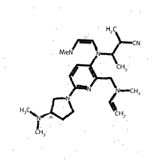 C=CN(C)Cc1nc(N2CC[C@@H](N(C)C)C2)ccc1N(/C=C\NC)C(C)C(C)C#N